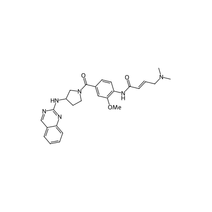 COc1cc(C(=O)N2CCC(Nc3ncc4ccccc4n3)C2)ccc1NC(=O)/C=C/CN(C)C